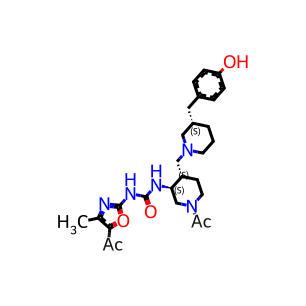 CC(=O)c1oc(NC(=O)N[C@@H]2CN(C(C)=O)CC[C@H]2CN2CCC[C@@H](Cc3ccc(O)cc3)C2)nc1C